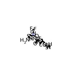 Nc1nc(/C(=N\OC(F)F)C(=O)NC2C(=O)N3C(C(=O)O)=C(CSc4ncns4)CS[C@H]23)cs1